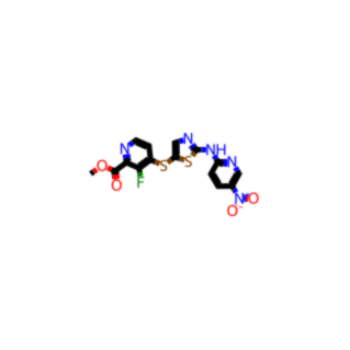 COC(=O)c1nccc(Sc2cnc(Nc3ccc([N+](=O)[O-])cn3)s2)c1F